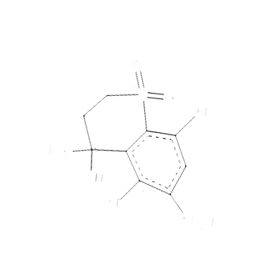 CC1(C)CCS(=O)(=O)c2c(Cl)cc(C(=O)O)c(Cl)c21